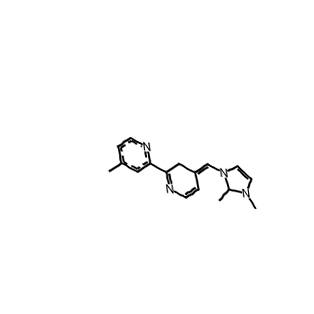 Cc1ccnc(C2=NC=CC(=CN3C=CN(C)C3C)C2)c1